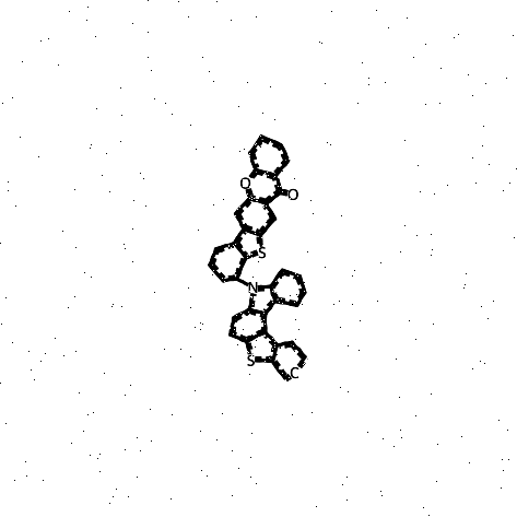 O=c1c2ccccc2oc2cc3c(cc12)sc1c(-n2c4ccccc4c4c5c(ccc42)sc2ccccc25)cccc13